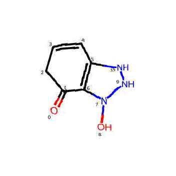 O=C1CC=CC2=C1N(O)NN2